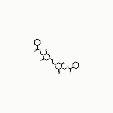 O=C(OCN1C(=O)CN(CCN2CC(=O)N(COC(=O)C3CCCCC3)C(=O)C2)CC1=O)C1CCCCC1